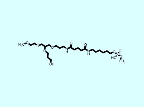 COCCOCC(COCCCNC(=O)CCCC(=O)NCCCCCCOP(=O)(O)OC)OCCCO